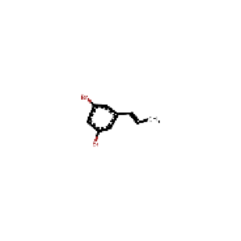 C[C]=Cc1cc(Br)cc(Br)c1